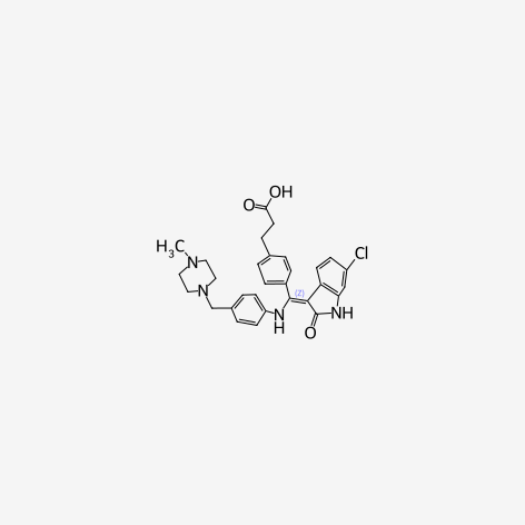 CN1CCN(Cc2ccc(N/C(=C3\C(=O)Nc4cc(Cl)ccc43)c3ccc(CCC(=O)O)cc3)cc2)CC1